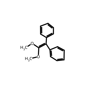 COC(OC)=C(c1ccccc1)c1ccccc1